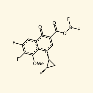 COc1c(F)c(F)cc2c(=O)c(C(=O)OB(F)F)cn([C@H]3C[C@H]3F)c12